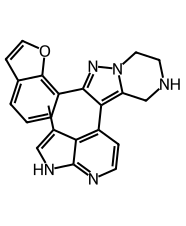 Cc1c[nH]c2nccc(-c3c(-c4cccc5ccoc45)nn4c3CNCC4)c12